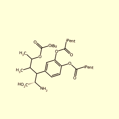 CCCC(C)C(=O)Oc1ccc(C(C(C)C(C)OC(=O)OCC(C)C)[C@H](N)C(=O)O)cc1OC(=O)C(C)CCC